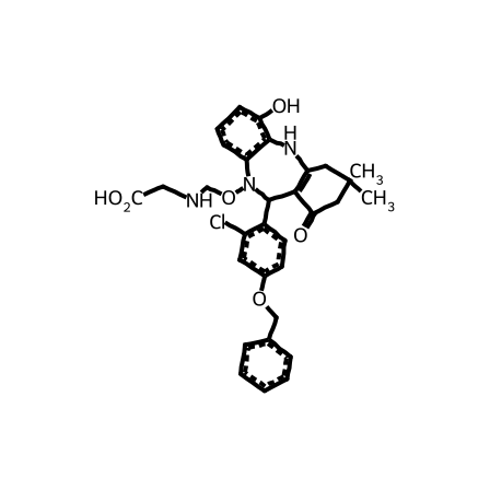 CC1(C)CC(=O)C2=C(C1)Nc1c(O)cccc1N(OCNCC(=O)O)C2c1ccc(OCc2ccccc2)cc1Cl